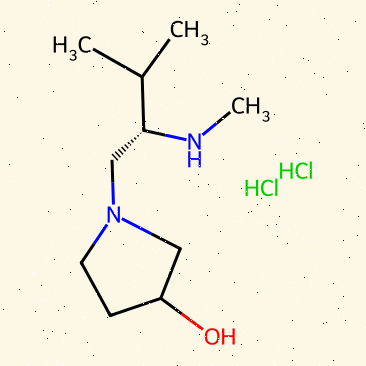 CN[C@H](CN1CCC(O)C1)C(C)C.Cl.Cl